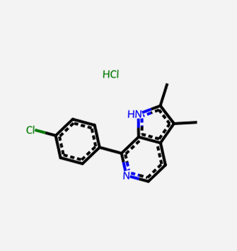 Cc1[nH]c2c(-c3ccc(Cl)cc3)nccc2c1C.Cl